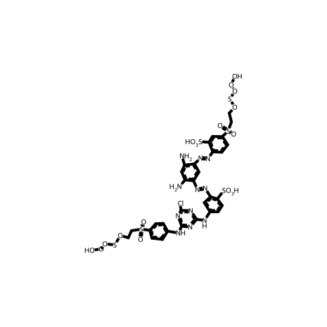 Nc1cc(N)c(/N=N/c2ccc(S(=O)(=O)CCOSOOO)cc2S(=O)(=O)O)cc1/N=N/c1cc(Nc2nc(Cl)nc(Nc3ccc(S(=O)(=O)CCOSOOO)cc3)n2)ccc1S(=O)(=O)O